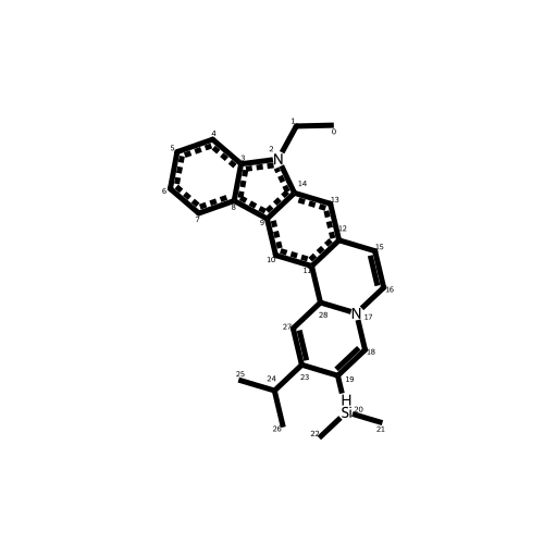 CCn1c2ccccc2c2cc3c(cc21)C=CN1C=C([SiH](C)C)C(C(C)C)=CC31